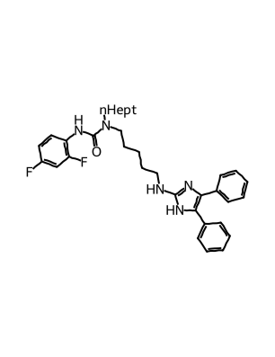 CCCCCCCN(CCCCCNc1nc(-c2ccccc2)c(-c2ccccc2)[nH]1)C(=O)Nc1ccc(F)cc1F